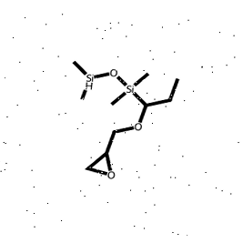 CCC(OCC1CO1)[Si](C)(C)O[SiH](C)C